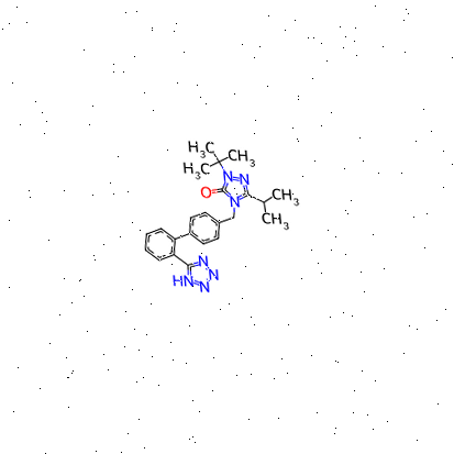 CC(C)c1nn(C(C)(C)C)c(=O)n1Cc1ccc(-c2ccccc2-c2nnn[nH]2)cc1